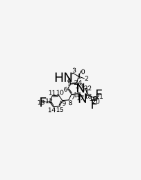 CC1(C)CNc2cc(Cc3ccc(F)cc3)c3nc(C(F)F)cn3c21